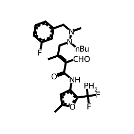 CCCCN(C/C(C)=C(\C=O)C(=O)Nc1cc(C)oc1C(F)(F)P)N(C)Cc1cccc(F)c1